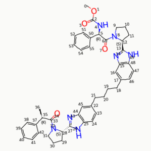 COC(=O)N[C@@H](C(=O)N1CCC[C@H]1c1nc2cc(CCCCc3ccc4[nH]c([C@@H]5CCCN5C(=O)[C@H](C)c5ccccc5)nc4c3)ccc2[nH]1)c1ccccc1